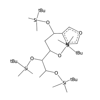 CC(O[Si](C)(C)C(C)(C)C)C(O[Si](C)(C)C(C)(C)C)C(CC(O[Si](C)(C)C(C)(C)C)c1cocn1)O[Si](C)(C)C(C)(C)C